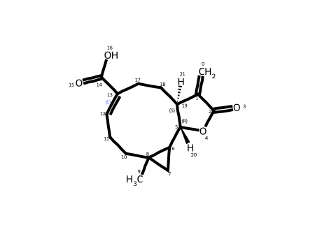 C=C1C(=O)O[C@@H]2C3CC3(C)CC/C=C(/C(=O)O)CC[C@@H]12